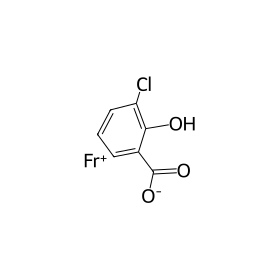 O=C([O-])c1cccc(Cl)c1O.[Fr+]